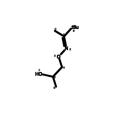 CC(=NOCC(C)O)C(C)(C)C